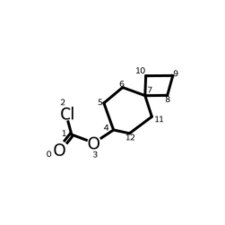 O=C(Cl)OC1CCC2(CCC2)CC1